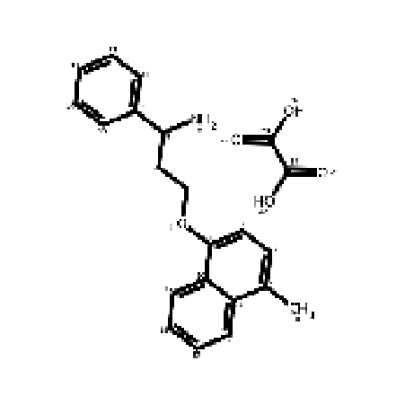 Cc1ccc(OCCC(N)c2ccccc2)c2ccccc12.O=C(O)C(=O)O